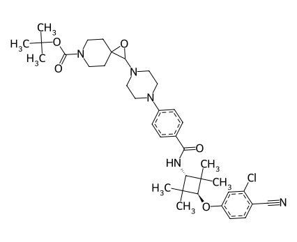 CC(C)(C)OC(=O)N1CCC2(CC1)OC2N1CCN(c2ccc(C(=O)N[C@H]3C(C)(C)[C@H](Oc4ccc(C#N)c(Cl)c4)C3(C)C)cc2)CC1